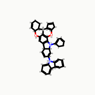 C1=CCCC(N2c3c(cc4c5c3OC3=C(C=CC3)B5C3CCC=CC3O4)C3C=CC(n4c5ccccc5c5ccccc54)=CC32)=C1